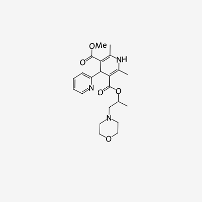 COC(=O)C1=C(C)NC(C)=C(C(=O)OC(C)CN2CCOCC2)C1c1ccccn1